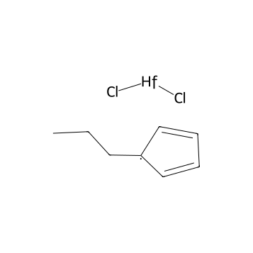 CCC[C]1C=CC=C1.[Cl][Hf][Cl]